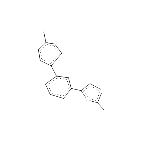 Cc1ccc(-c2cccc(-c3csc(C)n3)c2)cc1